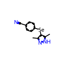 Cc1n[nH]c(C)c1[Se]c1ccc(C#N)cc1